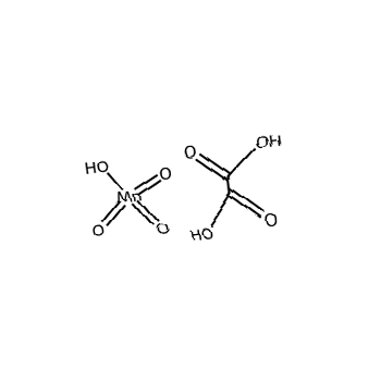 O=C(O)C(=O)O.[O]=[Mn](=[O])(=[O])[OH]